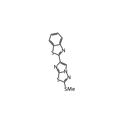 CSc1nn2cc(-c3nc4ccccc4s3)nc2s1